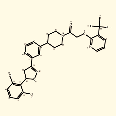 O=C(COc1ncccc1C(F)(F)F)N1CCC(c2ccnc(C3=NOC(c4c(Cl)cccc4Cl)C3)c2)CC1